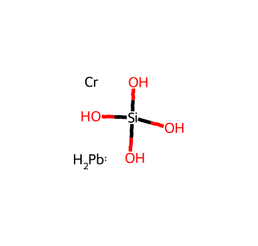 O[Si](O)(O)O.[Cr].[PbH2]